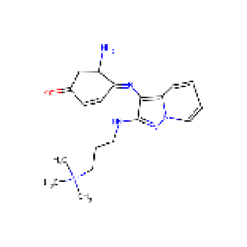 C[N+](C)(C)CCCNc1nn2ccccc2c1/N=C1\C=CC(=O)C=C1N